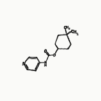 CC1(C)CCC(OC(=O)Nc2ccncc2)CC1